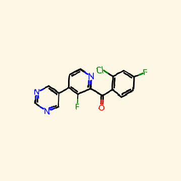 O=C(c1ccc(F)cc1Cl)c1nccc(-c2cncnc2)c1F